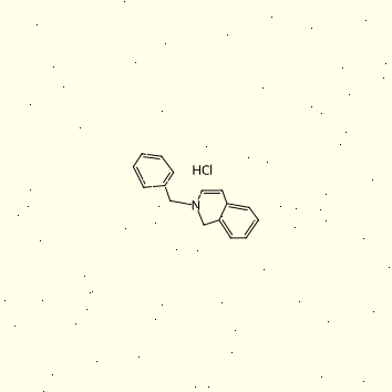 C1=CN(Cc2ccccc2)Cc2ccccc21.Cl